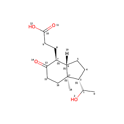 CC(O)[C@H]1CC[C@H]2[C@H](CCC(=O)O)C(=O)CC[C@]12C